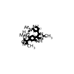 COc1cc2c(cc1-c1c(C)noc1C)[nH]c1nc(C)nc(-c3ccnc(N(C)C(C)=O)c3)c12